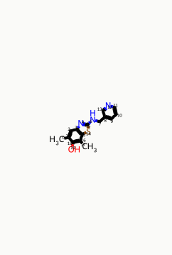 Cc1cc2nc(NCc3cccnc3)sc2c(C)c1O